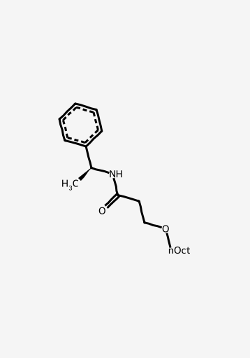 CCCCCCCCOCCC(=O)N[C@@H](C)c1ccccc1